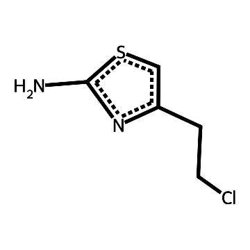 Nc1nc(CCCl)cs1